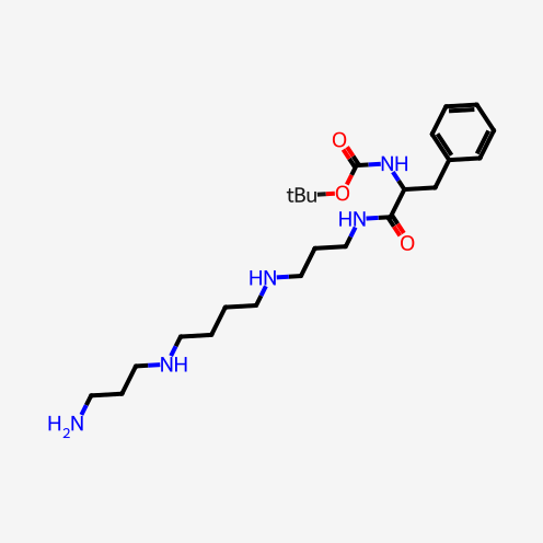 CC(C)(C)OC(=O)NC(Cc1ccccc1)C(=O)NCCCNCCCCNCCCN